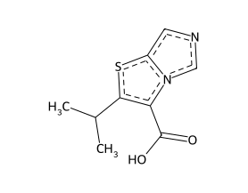 CC(C)c1sc2cncn2c1C(=O)O